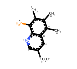 CCOC(=O)c1cnc2c(P)c(C)c(C)c(C)c2c1